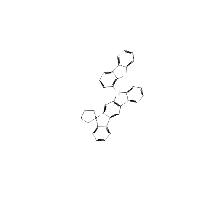 c1ccc2c(c1)-c1cc3c4ccccc4n(-c4cccc5c4sc4ccccc45)c3cc1C21CCCC1